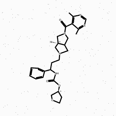 Cc1ncnc(C)c1C(=O)N1CC2CN(CCC(NC(=O)O[C@H]3CCOC3)c3ccccc3)C[C@H]2C1